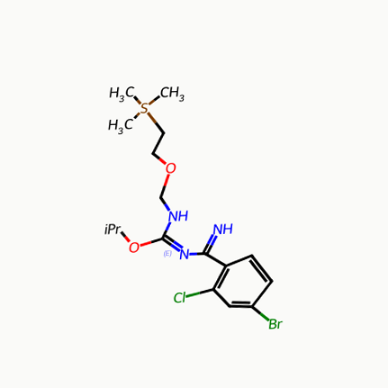 CC(C)O/C(=N/C(=N)c1ccc(Br)cc1Cl)NCOCCS(C)(C)C